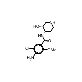 COc1cc(N)c(Cl)cc1C(=O)N[C@H]1CCNC[C@H]1O